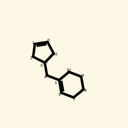 C1=CC[C](CC2=CCCCC2)C1